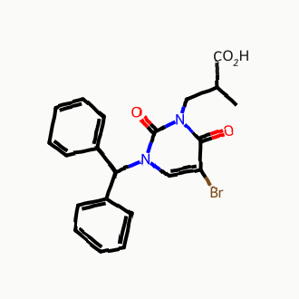 CC(Cn1c(=O)c(Br)cn(C(c2ccccc2)c2ccccc2)c1=O)C(=O)O